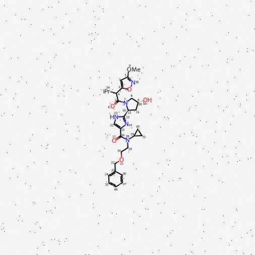 COc1cc(C(C(=O)N2C[C@H](O)C[C@H]2c2nc(C(=O)N(CCOCc3ccccc3)C3CC3)c[nH]2)C(C)C)on1